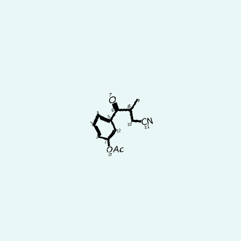 CC(=O)Oc1cccc(C(=O)C(C)CC#N)c1